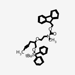 CC#CCC(CO[Si](c1ccccc1)(c1ccccc1)C(C)(C)C)OCCN(C)C(=O)OCC1c2ccccc2-c2ccccc21